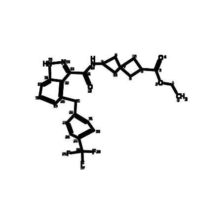 CCOC(=O)C1CC2(CC(NC(=O)c3n[nH]c4cccc(Cc5ccc(C(F)(F)F)cc5)c34)C2)C1